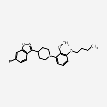 CCCCOc1[c]ccc(N2CCC(c3noc4cc(F)ccc34)CC2)c1OC